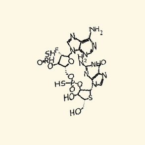 Nc1nc2c(ncn2[C@@H]2S[C@H](CO)[C@@H](O)[C@H]2OP(=O)(S)OC[C@H]2OC(n3cnc4c(N)ncnc43)[C@@H](F)[C@@H]2O[PH](=O)S)c(=O)[nH]1